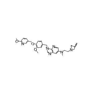 C=C1CN(CCN(C)c2cnc3c(c2)ncn3Cc2ccc(OCc3ccc(OC)nc3)c(OC)c2)C1